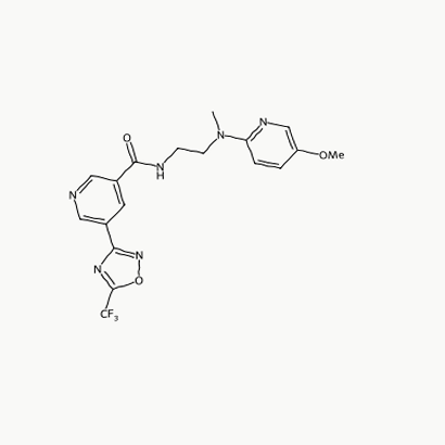 COc1ccc(N(C)CCNC(=O)c2cncc(-c3noc(C(F)(F)F)n3)c2)nc1